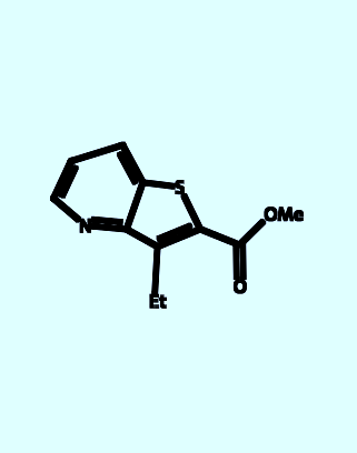 CCc1c(C(=O)OC)sc2cccnc12